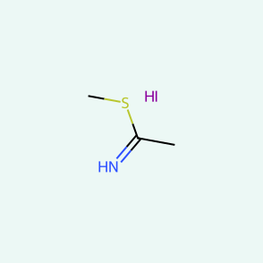 CSC(C)=N.I